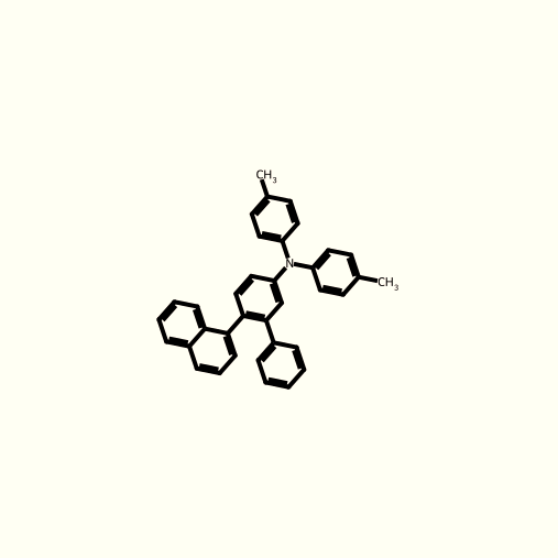 Cc1ccc(N(c2ccc(C)cc2)c2ccc(-c3cccc4ccccc34)c(-c3ccccc3)c2)cc1